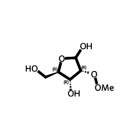 COO[C@H]1C(O)O[C@H](CO)[C@H]1O